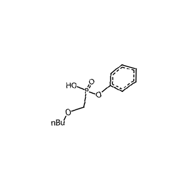 CCCCOCP(=O)(O)Oc1ccccc1